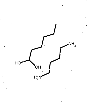 CCCCCC(O)O.NCCCCN